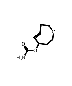 NC(=O)OC1/C=C/CCOCC1